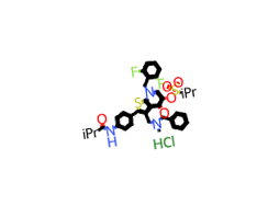 CC(C)C(=O)Nc1ccc(-c2sc3c(c2CN(C)Cc2ccccc2)c(=O)c(OS(=O)(=O)C(C)C)cn3Cc2c(F)cccc2F)cc1.Cl